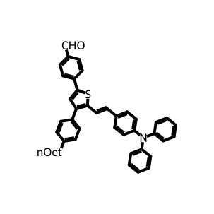 CCCCCCCCc1ccc(-c2cc(-c3ccc(C=O)cc3)sc2/C=C/c2ccc(N(c3ccccc3)c3ccccc3)cc2)cc1